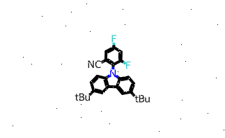 CC(C)(C)c1ccc2c(c1)c1cc(C(C)(C)C)ccc1n2-c1c(F)cc(F)cc1C#N